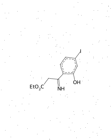 CCOC(=O)CC(=N)c1ccc(I)cc1O